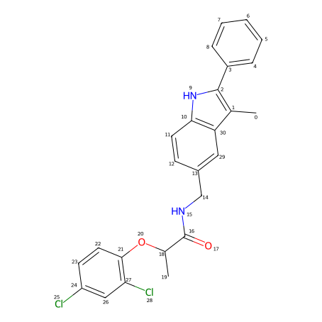 Cc1c(-c2ccccc2)[nH]c2ccc(CNC(=O)C(C)Oc3ccc(Cl)cc3Cl)cc12